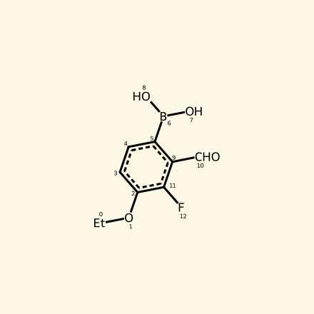 CCOc1ccc(B(O)O)c(C=O)c1F